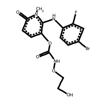 Cn1c(Nc2ccc(Br)cc2F)c(OC(=O)NOCCO)ccc1=O